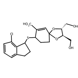 O=C(O)C1=CC2(CCC1SC1CCc3cccc(Cl)c31)O[C@H](CO)[C@@H](CO)O2